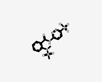 CN(c1ccccc1C(=O)Nc1ccc(S(=O)(=O)Cl)nn1)S(C)(=O)=O